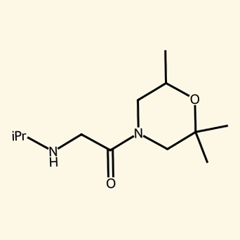 CC(C)NCC(=O)N1CC(C)OC(C)(C)C1